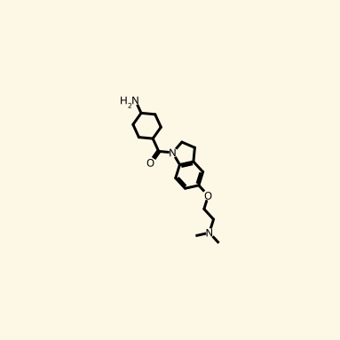 CN(C)CCOc1ccc2c(c1)CCN2C(=O)C1CCC(N)CC1